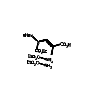 CCCCCCN(C=C(C)C(=O)O)C(=O)OCC.CCOC(N)=O.CCOC(N)=O